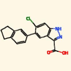 O=C(O)c1n[nH]c2cc(Cl)c(-c3ccc4c(c3)CCC4)cc12